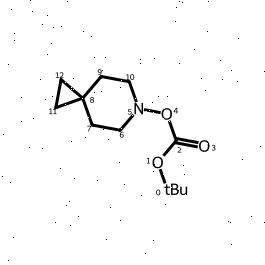 CC(C)(C)OC(=O)ON1CCC2(CC1)CC2